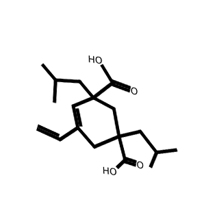 C=CC1=CC(CC(C)C)(C(=O)O)CC(CC(C)C)(C(=O)O)C1